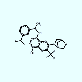 Cc1nnc(N[C@H](C)c2cccc(C(F)F)c2)c2cc(N3CC4CC3CO4)c(C(F)(F)F)nc12